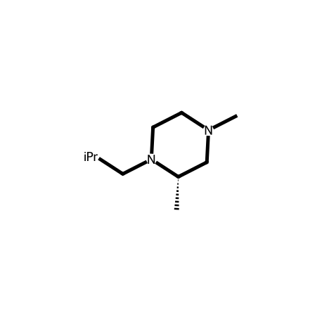 CC(C)CN1CCN(C)C[C@@H]1C